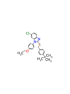 CCOc1ccc(-n2c(SCc3ccc(C(C)(C)C)cc3)nc3ccc(Cl)cc32)cc1